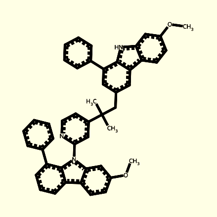 COc1ccc2c(c1)[nH]c1c(-c3ccccc3)cc(CC(C)(C)c3ccnc(-n4c5cc(OC)ccc5c5cccc(-c6ccccc6)c54)c3)cc12